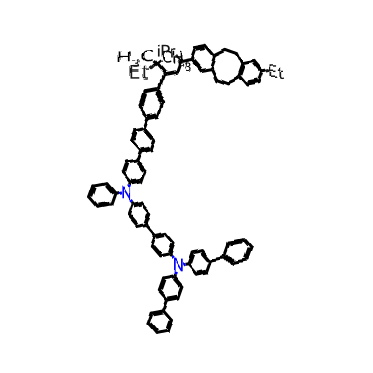 CCc1ccc2c(c1)CCC1C=CC([C@@H](CC(c3ccc(-c4ccc(-c5ccc(N(c6ccccc6)c6ccc(-c7ccc(N(c8ccc(-c9ccccc9)cc8)c8ccc(-c9ccccc9)cc8)cc7)cc6)cc5)cc4)cc3)C(C)(C)CC)C(C)C)=CC1CC2